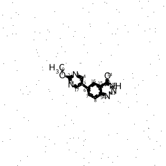 COc1ncc(-c2ccc3nn[nH]c(=O)c3c2)cn1